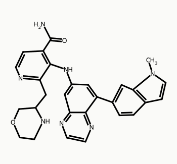 Cn1ccc2ccc(-c3cc(Nc4c(C(N)=O)ccnc4CC4COCCN4)cc4nccnc34)cc21